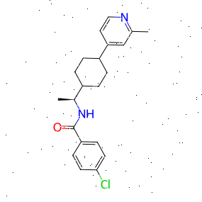 Cc1cc(C2CCC([C@H](C)NC(=O)c3ccc(Cl)cc3)CC2)ccn1